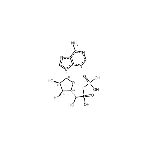 Nc1ncnc2c1ncn2[C@@H]1O[C@H](C(O)P(=O)(O)OP(=O)(O)O)[C@@H](O)[C@H]1O